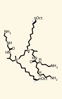 CCCCCCCC/C=C\CCCCCCCC[N+](C)(CCCC[N+](C)(CCCCCCCC/C=C/CCCCCCCC)CC(C)CNC(=O)C(CCCNCCCN)NCCCN)CC(C)CNC(=O)CNCCCN